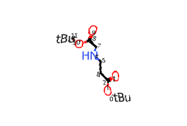 CC(C)(C)OC(=O)CCNCC(=O)OC(C)(C)C